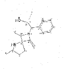 CC1CCC2(N1)C(=O)N(C(c1ncccn1)[C@@H](C)O)C2C